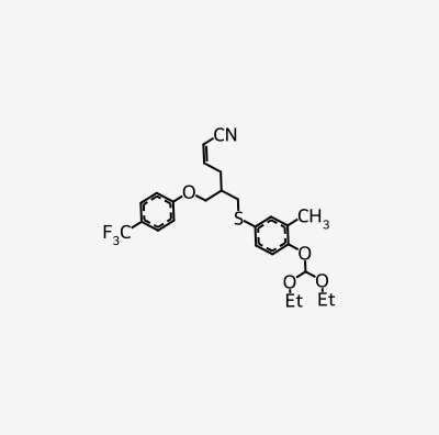 CCOC(OCC)Oc1ccc(SCC(C/C=C\C#N)COc2ccc(C(F)(F)F)cc2)cc1C